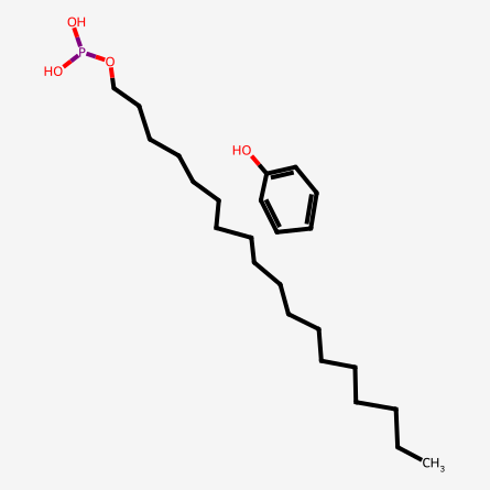 CCCCCCCCCCCCCCCCCCOP(O)O.Oc1ccccc1